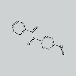 O=Nc1ccc(C(=O)C(=O)c2ccccc2)cc1